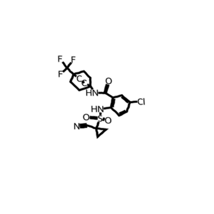 N#CC1(S(=O)(=O)Nc2ccc(Cl)cc2C(=O)NC23CCC(C(F)(F)F)(CC2)CC3)CC1